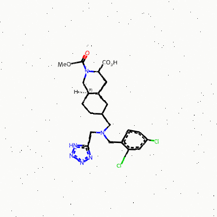 COC(=O)N1C[C@@H]2CCC(CN(Cc3nnn[nH]3)Cc3ccc(Cl)cc3Cl)CC2CC1C(=O)O